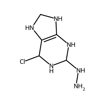 NNC1NC2=C(NCN2)C(Cl)N1